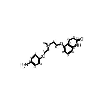 CN(CCOc1ccc(N)cc1)CCOc1cccc2c1CCC(=O)N2